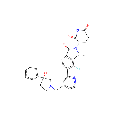 C[C@@H]1c2c(ccc(-c3cc(CN4CCC(O)(c5ccccc5)C4)ccn3)c2F)C(=O)N1[C@H]1CCC(=O)NC1=O